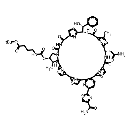 Cc1sc2nc1C(=O)N[C@@H]([C@H](O)c1ccccc1)c1nc(cs1)C(=O)NC(=O)N1C[C@H](OC(=O)NCCCC(=O)OC(C)(C)C)[C@H](C)[C@H]1c1nc(cs1)-c1nc(cs1)-c1nc(-c3nc(C(N)=O)cs3)ccc1-c1nc(cs1)C(=O)N[C@H]2CC(N)=O